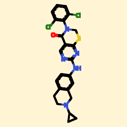 O=C1c2cnc(Nc3ccc4c(c3)CN(C3CC3)CC4)nc2SCN1c1c(Cl)cccc1Cl